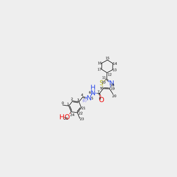 Cc1cc(/C=N/NC(=O)c2sc(C3CCCCC3)nc2C)cc(C)c1O